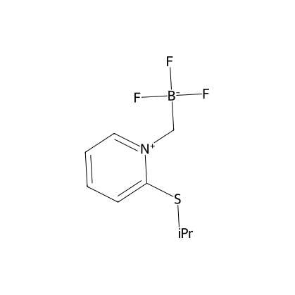 CC(C)Sc1cccc[n+]1C[B-](F)(F)F